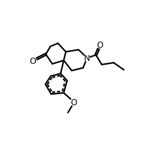 CCCC(=O)N1CCC2(c3cccc(OC)c3)CC(=O)CCC2C1